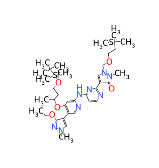 CCOc1nn(C)cc1-c1cnc(Nc2ccnc(-c3cn(COCC[Si](C)(C)C)n(C)c3=O)n2)cc1OC(C)CCO[Si](C)(C)C(C)(C)C